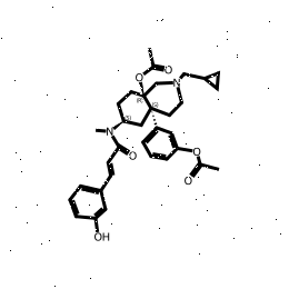 CC(=O)Oc1cccc([C@@]23CCN(CC4CC4)C[C@@]2(OC(C)=O)CC[C@H](N(C)C(=O)C=Cc2cccc(O)c2)C3)c1